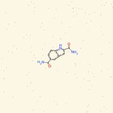 NC(=O)c1ccc2[nH]c(C(N)=O)cc2c1